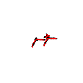 C=CC[O][Ti+2]([CH3])([O]C=CCC)[O]CC=C.CCCCCCCCCCCCCOP([O-])OCCCCCCCCCCCCC.CCCCCCCCCCCCCOP([O-])OCCCCCCCCCCCCC